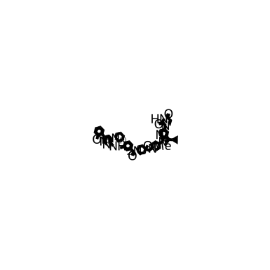 COC1(CN2CCC(n3cc(C4CC4)c4cc(N5CCC(=O)NC5=O)cnc43)CC2)CCN(C(=O)c2ccc([C@H]3CCCN(c4cc(-c5ccccc5O)nnc4N)C3)c(C)c2)CC1